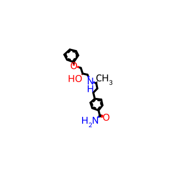 C[C@H](CCc1ccc(C(N)=O)cc1)NC[C@@H](O)COc1ccccc1